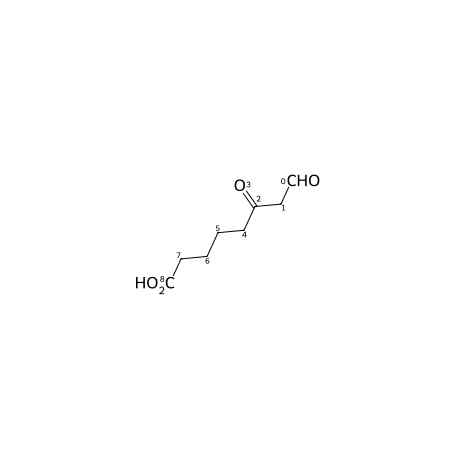 O=CCC(=O)CCCCC(=O)O